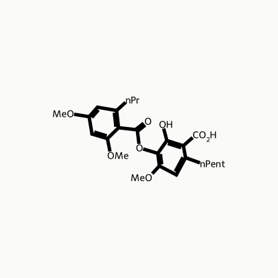 CCCCCc1cc(OC)c(OC(=O)c2c(CCC)cc(OC)cc2OC)c(O)c1C(=O)O